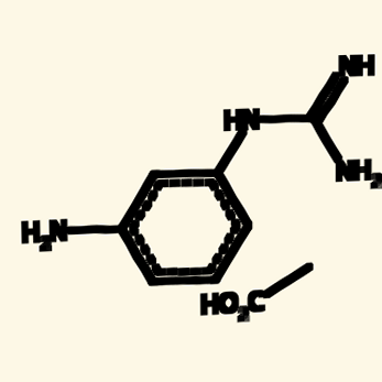 CC(=O)O.N=C(N)Nc1cccc(N)c1